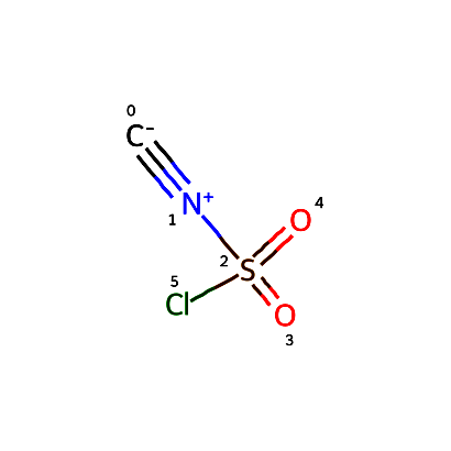 [C-]#[N+]S(=O)(=O)Cl